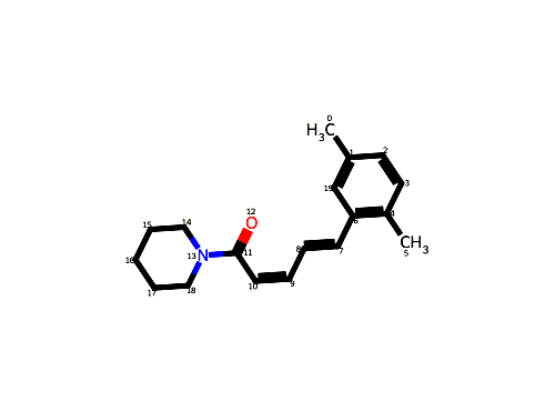 Cc1ccc(C)c(/C=C/C=C\C(=O)N2CCCCC2)c1